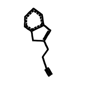 C#CCCC1=Cc2ccccc2C1